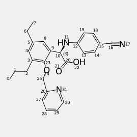 CCCc1cc(CC)cc([C@@H](Nc2ccc(C#N)cc2)C(=O)O)c1OCc1ccccn1